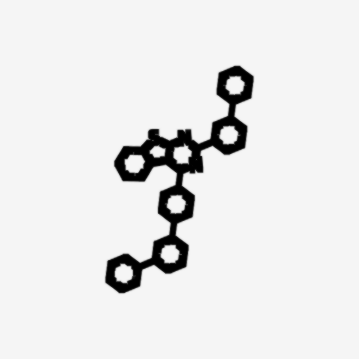 c1ccc(-c2cccc(-c3ccc(-c4nc(-c5cccc(-c6ccccc6)c5)nc5sc6ccccc6c45)cc3)c2)cc1